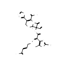 Nc1nc(C(=NOCC=CC(=O)O)C(=O)NC2(C=S)C(=O)N3C(C(=O)O)=C(c4nncs4)CS[C@H]32)c(Cl)s1